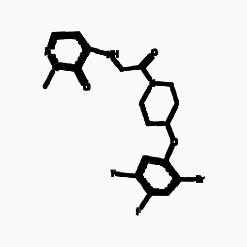 Cn1nccc(NCC(=O)N2CCC(Oc3cc(F)c(F)cc3Br)CC2)c1=O